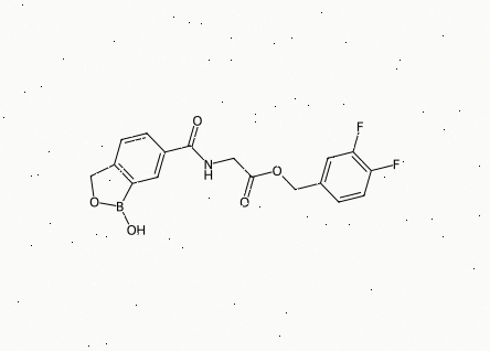 O=C(CNC(=O)c1ccc2c(c1)B(O)OC2)OCc1ccc(F)c(F)c1